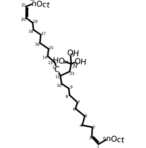 CCCCCCCC/C=C\CCCCCCCCC(CCCCCCCC/C=C\CCCCCCCC)CC(O)(O)O